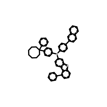 c1ccc(-c2cccc3sc4cc(N(c5ccc(-c6ccc7ccccc7c6)cc5)c5ccc(C6(c7ccccc7)CCCCCCC6)cc5)ccc4c23)cc1